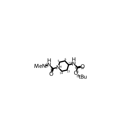 CNNC(=O)N1CCC(NC(=O)OC(C)(C)C)CC1